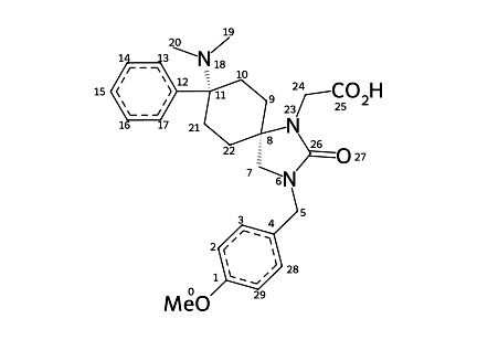 COc1ccc(CN2C[C@]3(CC[C@@](c4ccccc4)(N(C)C)CC3)N(CC(=O)O)C2=O)cc1